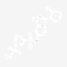 CS(=O)(=O)c1cccc(S(=O)(=O)Nc2ccc3c(-c4ccccc4Cl)n[nH]c3c2)c1